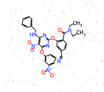 CCN(CC)C(=O)c1ccc(C#N)cc1Oc1nc(NCc2ccccc2)c([N+](=O)[O-])c(Oc2cccc([N+](=O)[O-])c2)n1